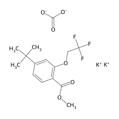 COC(=O)c1ccc(C(C)(C)C)cc1OCC(F)(F)F.O=C([O-])[O-].[K+].[K+]